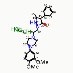 COc1ccc(N2CCN(CCN3NC(C)C(c4ccccc4)C3=O)CC2)cc1OC.Cl.Cl.Cl